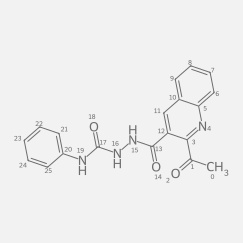 CC(=O)c1nc2ccccc2cc1C(=O)NNC(=O)Nc1ccccc1